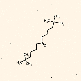 CC(C)(C)CCCCC(=O)CCCCC(C)(C)C